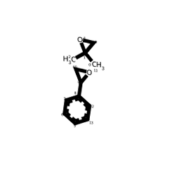 CC1(C)CO1.c1ccc(C2CO2)cc1